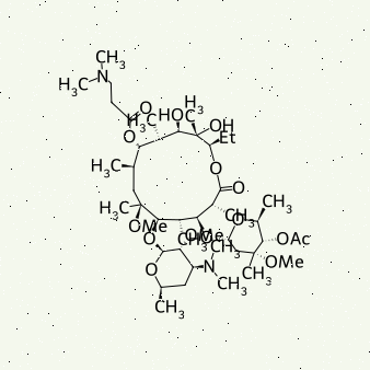 CC[C@H]1OC(=O)[C@H](C)[C@@H](O[C@H]2C[C@@](C)(OC)[C@@H](OC(C)=O)[C@H](C)O2)[C@H](C)[C@@H](O[C@@H]2O[C@H](C)C[C@H](N(C)C)[C@H]2OC)[C@@](C)(OC)C[C@@H](C)[C@H](OC(=O)CCN(C)C)[C@H](C)[C@@H](O)[C@]1(C)O